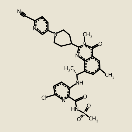 Cc1cc([C@@H](C)Nc2ccc(Cl)nc2C(=O)NS(C)(=O)=O)c2nc(C3CCN(c4ccc(C#N)nc4)CC3)n(C)c(=O)c2c1